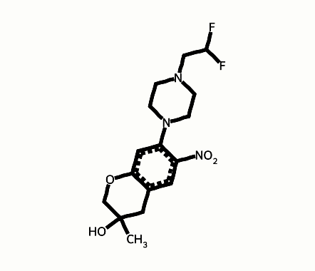 CC1(O)COc2cc(N3CCN(CC(F)F)CC3)c([N+](=O)[O-])cc2C1